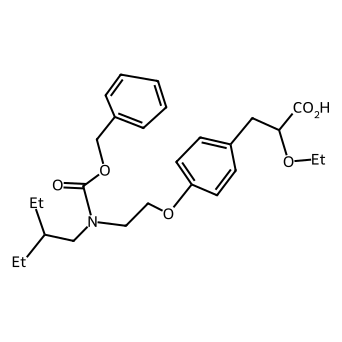 CCOC(Cc1ccc(OCCN(CC(CC)CC)C(=O)OCc2ccccc2)cc1)C(=O)O